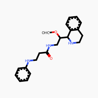 O=COC(CNC(=O)CCNc1ccccc1)C1NCCc2ccccc21